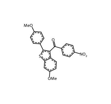 COc1ccc(-c2sc3cc(OC)ccc3c2C(=O)c2ccc([N+](=O)[O-])cc2)cc1